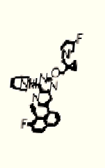 C#Cc1c(F)ccc2cccc(-c3cnc4c(N5CC6CCC(C5)N6)nc(OCC5(CN6CC[C@@H](F)C6)CC5)nc4c3)c12